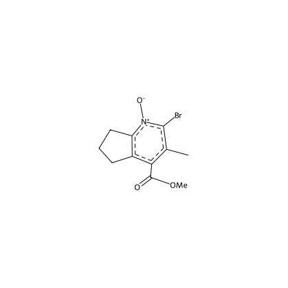 COC(=O)c1c(C)c(Br)[n+]([O-])c2c1CCC2